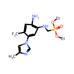 CCOP(=O)(CNc1cc(-n2cnc(C)c2)c(C(F)(F)F)cc1N)OCC